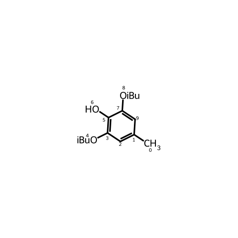 Cc1cc(OCC(C)C)c(O)c(OCC(C)C)c1